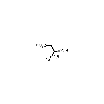 O=C(O)CC(C(=O)O)S(=O)(=O)O.[Fe]